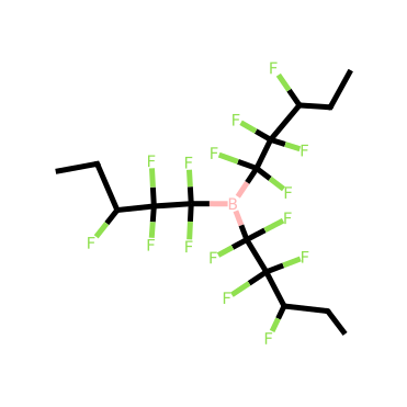 CCC(F)C(F)(F)C(F)(F)B(C(F)(F)C(F)(F)C(F)CC)C(F)(F)C(F)(F)C(F)CC